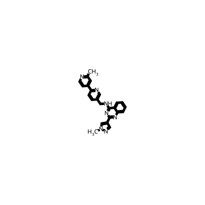 Cc1cc(-c2ccc(CNc3nc(-c4cnn(C)c4)nc4ccccc34)cn2)ccn1